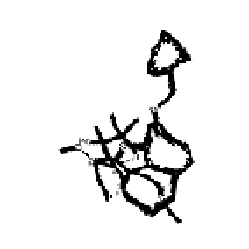 CO[C@]12CC[C@@]3(C[C@@H]1C(C)(O)C(C)(C)C)C1Cc4ccc(OCc5ccccc5)c5c4C3(CCN1C)C2O5